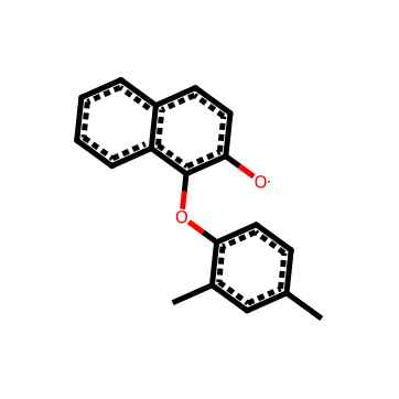 Cc1ccc(Oc2c([O])ccc3ccccc23)c(C)c1